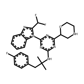 CC(C)(Cc1ccc(F)cc1)Nc1nc(C2CNCCO2)nc(-n2c(C(F)F)nc3ccccc32)n1